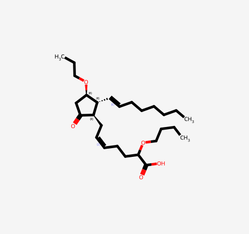 CCCCCC/C=C/[C@H]1[C@H](OCCC)CC(=O)[C@@H]1C/C=C\CCC(OCCCC)C(=O)O